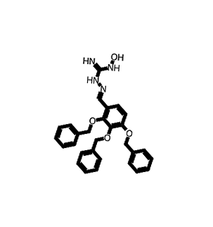 N=C(NO)NN=Cc1ccc(OCc2ccccc2)c(OCc2ccccc2)c1OCc1ccccc1